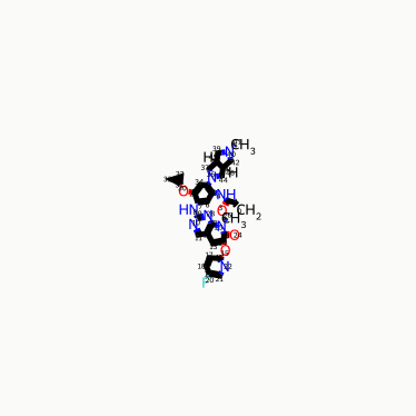 C=CC(=O)Nc1cc(Nc2ncc3cc(Oc4ccc(F)cn4)c(=O)n(C)c3n2)c(OC2CC2)cc1N1C[C@H]2CN(C)C[C@H]2C1